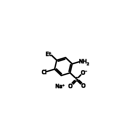 CCc1cc(N)c(S(=O)(=O)[O-])cc1Cl.[Na+]